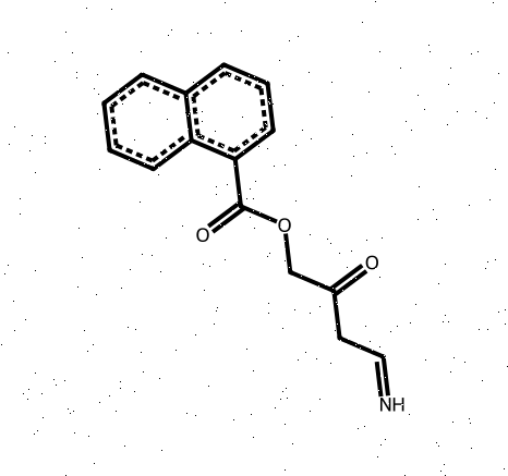 N=CCC(=O)COC(=O)c1cccc2ccccc12